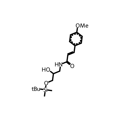 COc1ccc(C=CC(=O)NCC(O)CO[Si](C)(C)C(C)(C)C)cc1